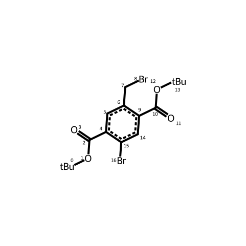 CC(C)(C)OC(=O)c1cc(CBr)c(C(=O)OC(C)(C)C)cc1Br